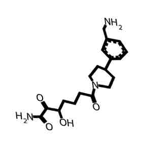 NCc1cccc(C2CCN(C(=O)CCCC(O)C(=O)C(N)=O)CC2)c1